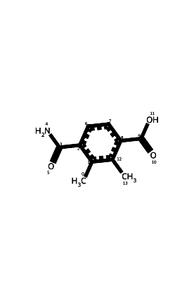 Cc1c(C(N)=O)ccc(C(=O)O)c1C